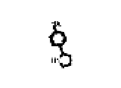 CC(C)(C)c1ccc(C2CCCN2)cc1